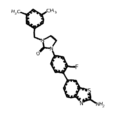 Cc1cc(C)cc(CN2CCN(c3ccc(-c4ccc5nc(N)sc5c4)c(F)c3)C2=O)c1